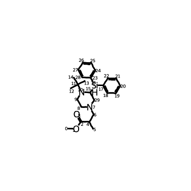 COC(=O)C(C)CN1CCN(C(C)(C)C)C([SiH](c2ccccc2)c2ccccc2)C1